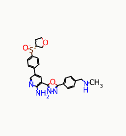 CNCc1ccc(-c2nnc(-c3cc(-c4ccc([S+]([O-])C5CCOC5)cc4)cnc3N)o2)cc1